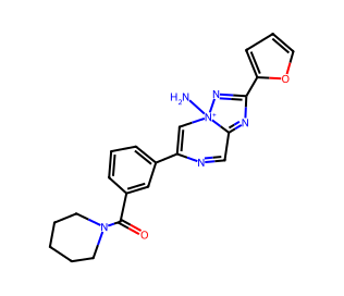 N[N+]12C=C(c3cccc(C(=O)N4CCCCC4)c3)N=CC1=NC(c1ccco1)=N2